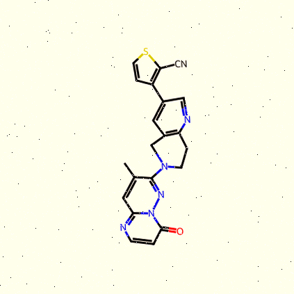 Cc1cc2nccc(=O)n2nc1N1CCc2ncc(-c3ccsc3C#N)cc2C1